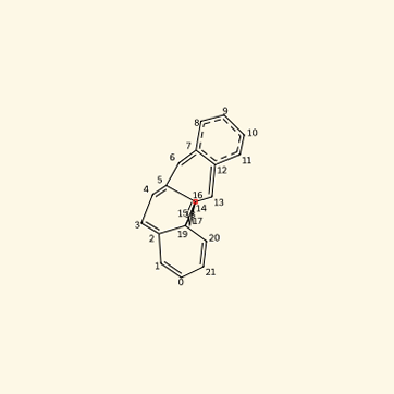 C1=CC2=CC=C3C=c4ccccc4=CC34C=CC=CC24C=C1